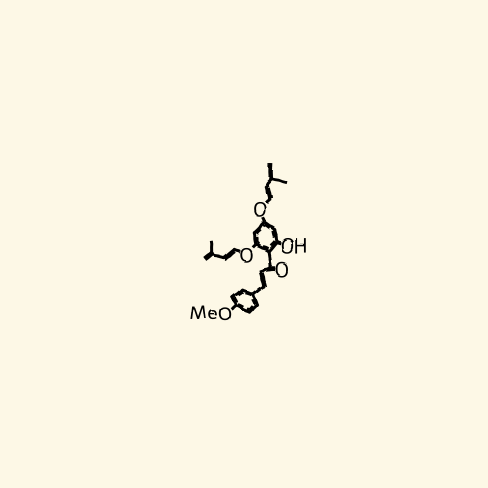 C=C(C)C=COc1cc(O)c(C(=O)C=Cc2ccc(OC)cc2)c(OC=CC(=C)C)c1